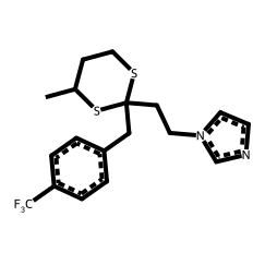 CC1CCSC(CCn2ccnc2)(Cc2ccc(C(F)(F)F)cc2)S1